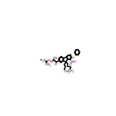 C=C(C)O/N=C(\C)C(=O)c1ccc2c(c1)C(CCCC)(CCCC)c1c-2ccc(Sc2ccccc2)c1[N+](=O)[O-]